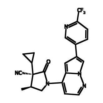 C[C@@H]1CN(c2ccnn3cc(-c4ccc(C(F)(F)F)nc4)cc23)C(=O)[C@]1(C#N)C1CC1